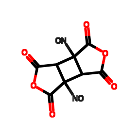 O=NC12C(=O)OC(=O)C1C1(N=O)C(=O)OC(=O)C21